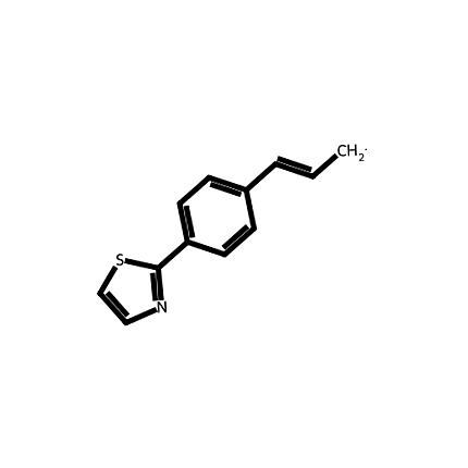 [CH2]/C=C/c1ccc(-c2nccs2)cc1